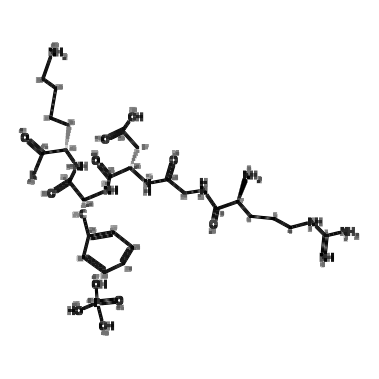 N=C(N)NCCC[C@H](N)C(=O)NCC(=O)N[C@@H](CC(=O)O)C(=O)N[C@H](Cc1ccccc1)C(=O)N[C@@H](CCCCN)[C](=O)[K].O=P(O)(O)O